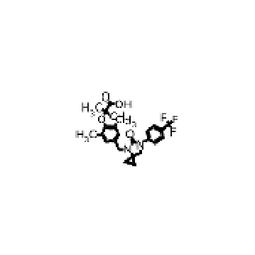 Cc1cc(CN2C(=O)N(c3ccc(C(F)(F)F)cc3)CC23CC3)cc(C)c1OC(C)(C)C(=O)O